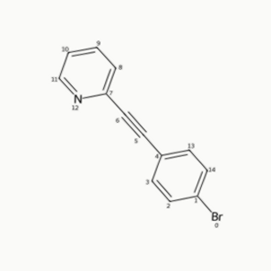 Brc1ccc(C#Cc2ccccn2)cc1